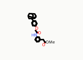 COC(=O)Cc1cccc(NC(=O)COc2ccc(C34CC5CC(CC(C5)C3)C4)cc2)c1